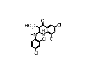 O=C(O)c1c(Nc2ccc(Cl)cc2Cl)[nH]c2c(Cl)cc(Cl)cc2c1=O